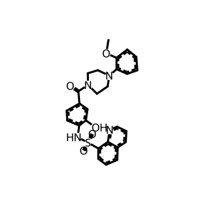 COc1ccccc1N1CCN(C(=O)c2ccc(NS(=O)(=O)c3cccc4cccnc34)c(O)c2)CC1